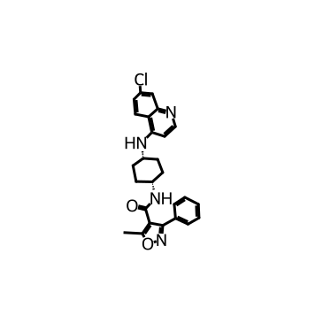 Cc1onc(-c2ccccc2)c1C(=O)N[C@H]1CC[C@@H](Nc2ccnc3cc(Cl)ccc23)CC1